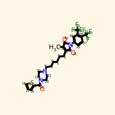 CC1=C(CCCCCCN2CCN(C(=O)c3cccs3)CC2)C(=O)N(c2ccc(C(F)(F)F)c(C(F)(F)F)c2)C1=O